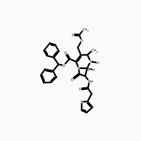 CC(=O)OCC1=C(C(=O)OC(c2ccccc2)c2ccccc2)N2C(=O)C(NC(=O)Cc3cccs3)[C@H]2[S+]([O-])C1C